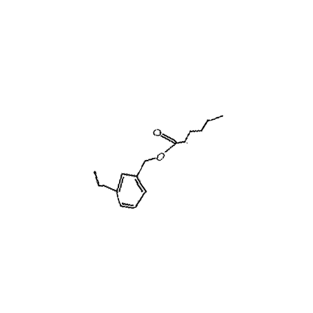 CCCC[CH]C(=O)OCc1cccc(CC)c1